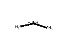 CCCCCCCC=CCCCCCCCCC(C)(N)CCCCCCCCCCCCCCCCCC